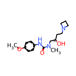 COc1ccc(NC(=O)N(C)C[C@H](O)CCN2CCC2)cc1